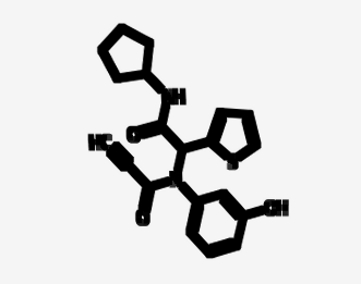 C#CC(=O)N(c1cccc(O)c1)C(C(=O)NC1CCCC1)c1cccs1